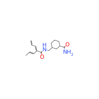 C=CC=C(C=CC)C(=O)NCC1CCCC(C(N)=O)C1